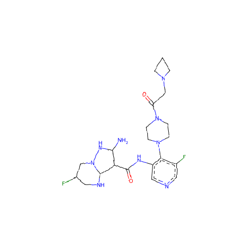 NC1NN2CC(F)CNC2C1C(=O)Nc1cncc(F)c1N1CCN(C(=O)CN2CCC2)CC1